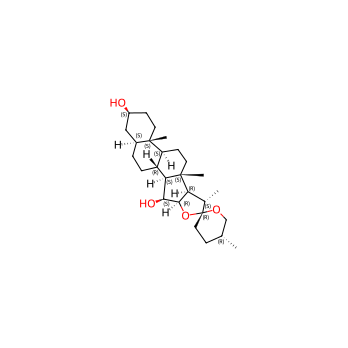 C[C@@H]1CC[C@@]2(OC1)O[C@H]1[C@@H](O)[C@H]3[C@@H]4CC[C@H]5C[C@@H](O)CC[C@]5(C)[C@H]4CC[C@]3(C)[C@H]1[C@@H]2C